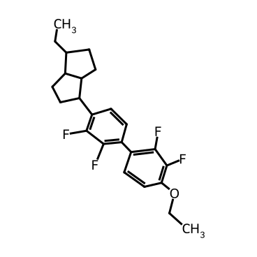 CCOc1ccc(-c2ccc(C3CCC4C(CC)CCC34)c(F)c2F)c(F)c1F